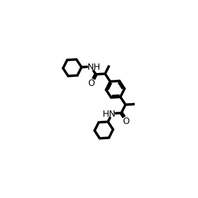 CC(C(=O)NC1CCCCC1)c1ccc(C(C)C(=O)NC2CCCCC2)cc1